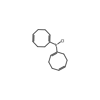 [Cl][Ir]([C]1=CCCC=CCC1)[C]1=CCCC=CCC1